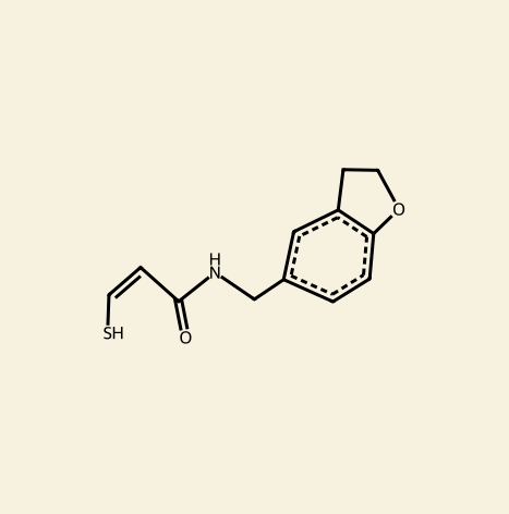 O=C(/C=C\S)NCc1ccc2c(c1)CCO2